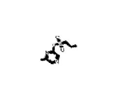 CCCS(=O)(=O)Oc1cncc(C)n1